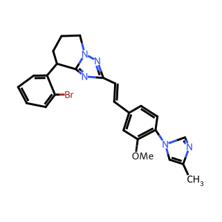 COc1cc(C=Cc2nc3n(n2)CCCC3c2ccccc2Br)ccc1-n1cnc(C)c1